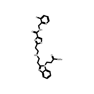 CNC(=O)CCn1c(CCNCCc2nc(C(=O)NCc3ncccc3F)co2)nc2ccccc21